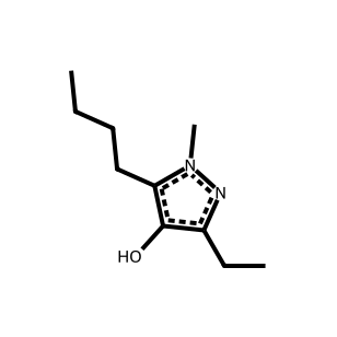 CCCCc1c(O)c(CC)nn1C